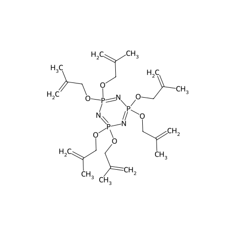 C=C(C)COP1(OCC(=C)C)=NP(OCC(=C)C)(OCC(=C)C)=NP(OCC(=C)C)(OCC(=C)C)=N1